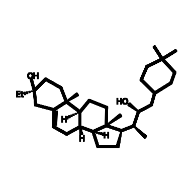 CC[C@]1(O)CC[C@@]2(C)C(=CC[C@H]3[C@@H]4CC[C@H]([C@H](C)[C@@H](O)CC5CCC(C)(C)CC5)[C@@]4(C)CC[C@@H]32)C1